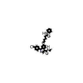 CCNC(=O)C[C@@H](C)/N=C(/c1ccc(Cl)cc1)c1cccc(OCCCCC(=O)Nc2ccccc2)c1